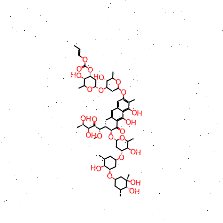 C/C=C/OC(=O)O[C@@H]1C[C@H](O[C@@H]2C[C@H](Oc3cc4cc5c(c(O)c4c(O)c3C)C(=O)[C@@H](O[C@H]3C[C@@H](O[C@@H]4CC(C)[C@H](O)[C@H](O[C@@H]6CC(C)[C@@H](O)[C@@](C)(O)C6)C4)[C@H](O)C(C)O3)[C@H]([C@H](OC)C(=O)[C@@H](O)[C@@H](C)O)C5)OC(C)[C@H]2O)OC(C)[C@H]1O